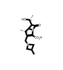 CC1CN(CC2=C(C(=O)O)N3C(=O)C([C@@H](C)O)C3[C@H]2C)C1